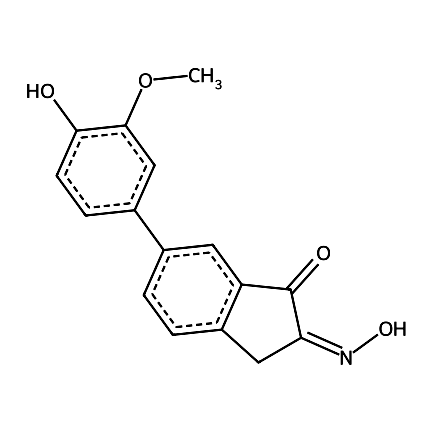 COc1cc(-c2ccc3c(c2)C(=O)/C(=N\O)C3)ccc1O